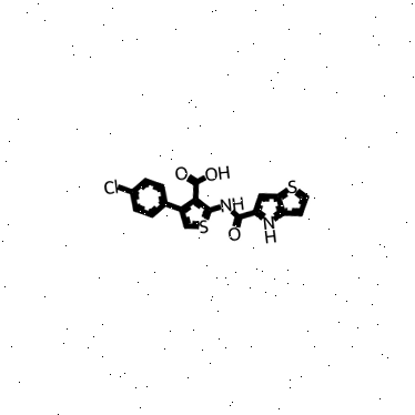 O=C(Nc1scc(-c2ccc(Cl)cc2)c1C(=O)O)c1cc2sccc2[nH]1